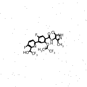 Cc1n[nH]c(Cl)c1NC(=O)c1cc(F)c(-c2ccc(F)c(C(O)C(F)(F)F)n2)cc1O[C@@H](C)C(F)(F)F